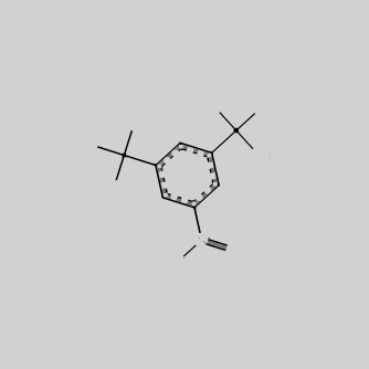 CC(C)(C)c1cc([N+](=O)[O-])cc(C(F)(F)F)c1